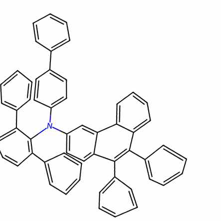 c1ccc(-c2ccc(N(c3ccc4c(-c5ccccc5)c(-c5ccccc5)c5ccccc5c4c3)c3c(-c4ccccc4)cccc3-c3ccccc3)cc2)cc1